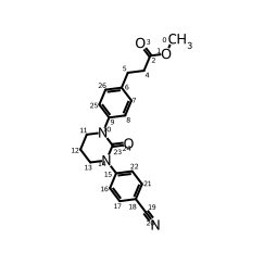 COC(=O)CCc1ccc(N2CCCN(c3ccc(C#N)cc3)C2=O)cc1